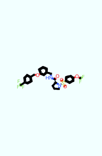 O=C(NCc1cccc(OCc2ccc(C(F)(F)F)cc2)c1)[C@@H]1CCCN1S(=O)(=O)c1ccc(OC(F)F)cc1